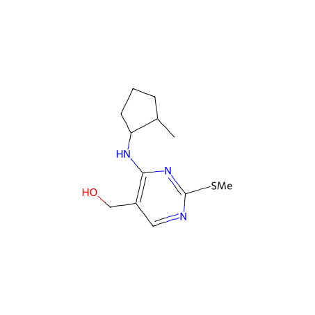 CSc1ncc(CO)c(NC2CCCC2C)n1